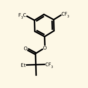 CCC(C)(C(=O)Oc1cc(C(F)(F)F)cc(C(F)(F)F)c1)C(F)(F)F